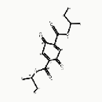 CCC(C)OC(=O)C1=CC(=O)C(C(=O)OC(C)CC)=CC1=O